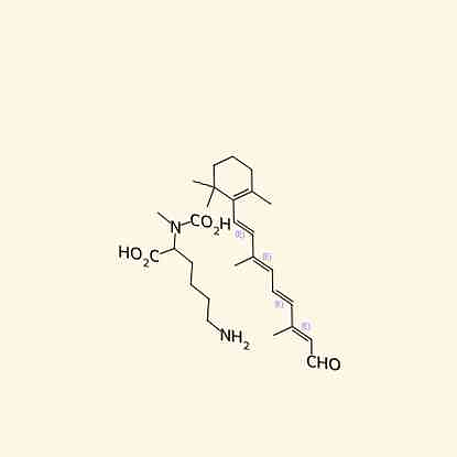 CC1=C(/C=C/C(C)=C/C=C/C(C)=C/C=O)C(C)(C)CCC1.CN(C(=O)O)C(CCCCN)C(=O)O